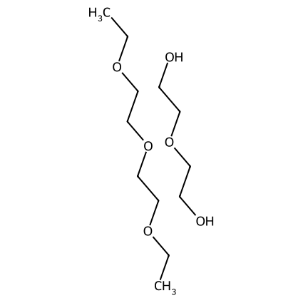 CCOCCOCCOCC.OCCOCCO